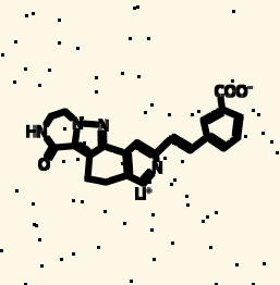 O=C([O-])c1cccc(/C=C/c2cc3c(cn2)CCc2c-3nn3c2C(=O)NCC3)c1.[Li+]